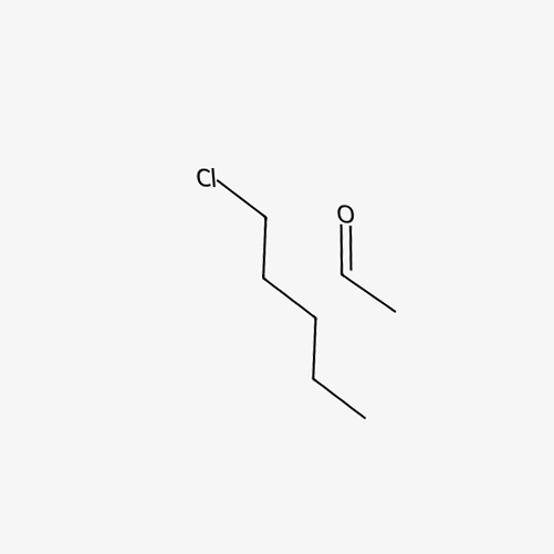 CC=O.CCCCCCl